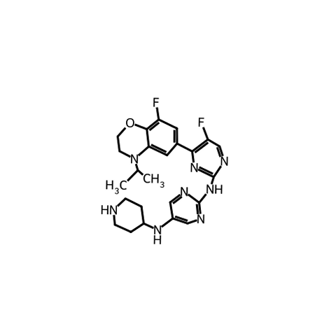 CC(C)N1CCOc2c(F)cc(-c3nc(Nc4ncc(NC5CCNCC5)cn4)ncc3F)cc21